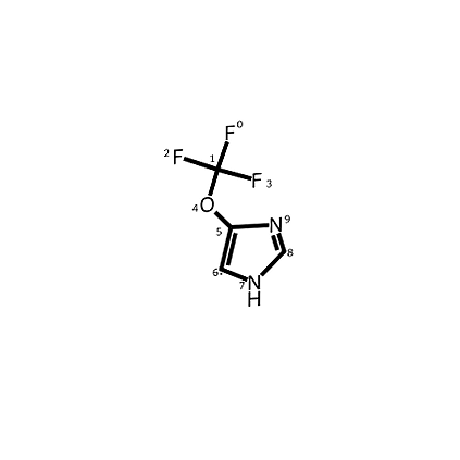 FC(F)(F)Oc1[c][nH]cn1